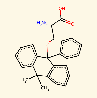 CC1(C)c2ccccc2C(OC[C@H](N)C(=O)O)(c2ccccc2)c2ccccc21